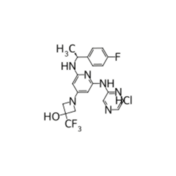 C[C@H](Nc1cc(N2CC(O)(C(F)(F)F)C2)cc(Nc2cnccn2)n1)c1ccc(F)cc1.Cl